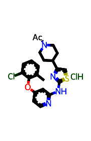 CC(=O)N1CCC(c2csc(Nc3cc(Oc4c(C)cccc4Cl)ccn3)n2)CC1.Cl